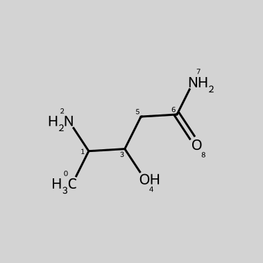 CC(N)C(O)CC(N)=O